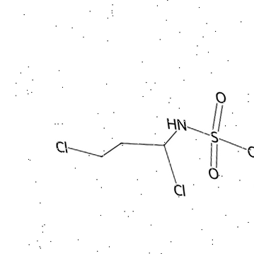 O=S(=O)(O)NC(Cl)CCCl